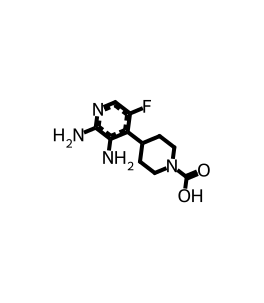 Nc1ncc(F)c(C2CCN(C(=O)O)CC2)c1N